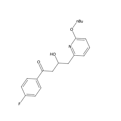 CCCCOc1cccc(CC(O)CC(=O)c2ccc(F)cc2)n1